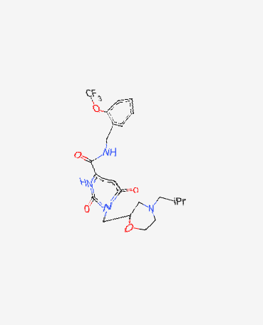 CC(C)CN1CCOC(Cn2c(=O)cc(C(=O)NCc3ccccc3OC(F)(F)F)[nH]c2=O)C1